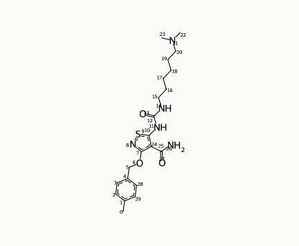 Cc1ccc(COc2nsc(NC(=O)NCCCCCCN(C)C)c2C(N)=O)cc1